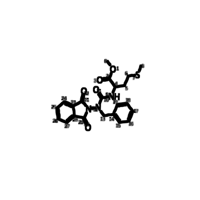 COC(=O)C(CCSC)NC(=O)N(Cc1ccccc1)N1C(=O)c2ccccc2C1=O